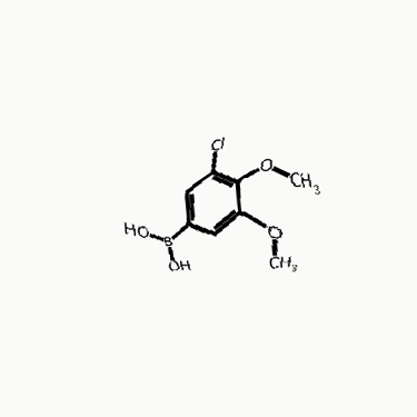 COc1cc(B(O)O)cc(Cl)c1OC